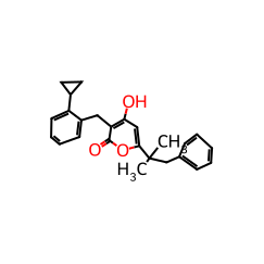 CC(C)(Cc1ccccc1)c1cc(O)c(Cc2ccccc2C2CC2)c(=O)o1